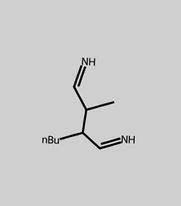 CCCCC(C=N)C(C)C=N